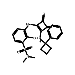 CN(C)S(=O)(=O)c1cccc(Nc2c(NC3(c4ccccc4)CCC3)c(=O)c2=O)c1O